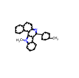 Cc1ccc(-c2nc3ccc4ccccc4c3c3c2c2ccccc2n3C)cc1